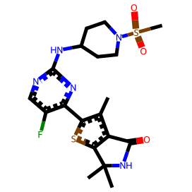 Cc1c(-c2nc(NC3CCN(S(C)(=O)=O)CC3)ncc2F)sc2c1C(=O)NC2(C)C